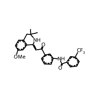 COc1ccc2c(c1)C(=CC(=O)c1cccc(NC(=O)c3cccc(C(F)(F)F)c3)c1)NC(C)(C)C2